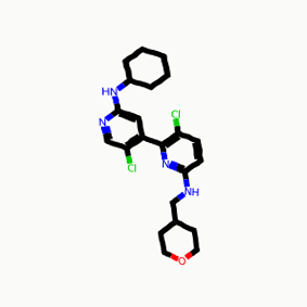 Clc1cnc(NC2CCCCC2)cc1-c1nc(NCC2CCOCC2)ccc1Cl